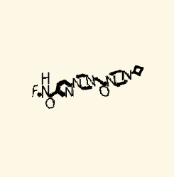 O=C(NCF)c1ccc(N2CCN(CC(=O)N3CCN(C4CCC4)CC3)CC2)nc1